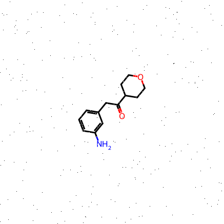 Nc1cccc(CC(=O)C2CCOCC2)c1